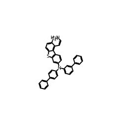 Cc1ccc2sc3cc(N(c4ccc(-c5ccccc5)cc4)c4cccc(-c5ccccc5)c4)ccc3c2c1/C=C\N